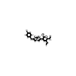 C=Cc1cc(-c2cn3cc(Cc4ccc(C)cc4)sc3n2)c(=O)oc1C=C